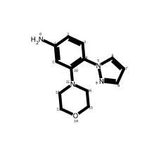 Nc1ccc(-n2cccn2)c(N2CCOCC2)c1